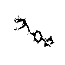 OC(CS)COc1ccc(-n2ccnc2)cc1